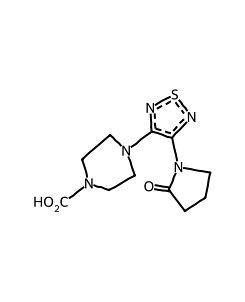 O=C(O)N1CCN(c2nsnc2N2CCCC2=O)CC1